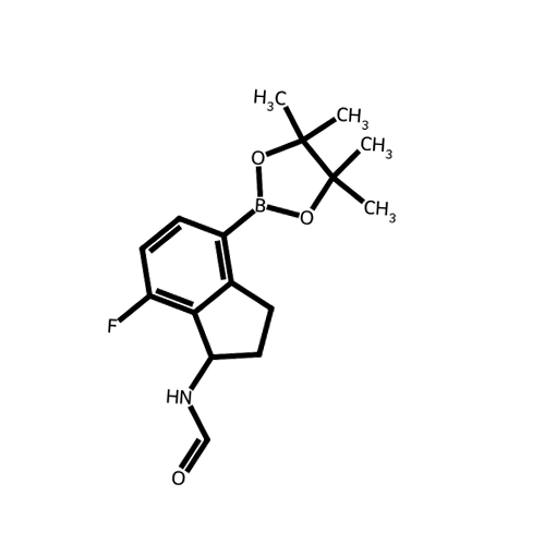 CC1(C)OB(c2ccc(F)c3c2CCC3NC=O)OC1(C)C